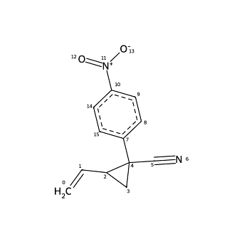 C=CC1CC1(C#N)c1ccc([N+](=O)[O-])cc1